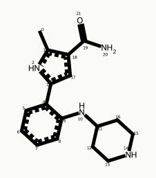 Cc1[nH]c(-c2ccccc2NC2CCNCC2)cc1C(N)=O